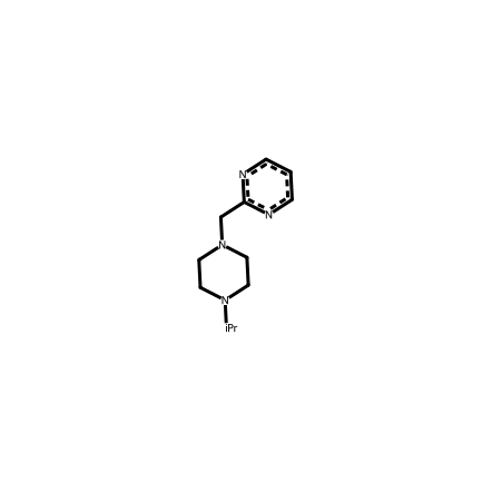 CC(C)N1CCN(Cc2ncccn2)CC1